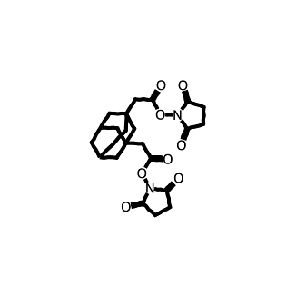 O=C(CC12CC3CC(C1)CC(CC(=O)ON1C(=O)CCC1=O)(C3)C2)ON1C(=O)CCC1=O